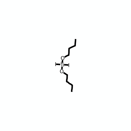 CCCC[O][Ti]([I])([I])[O]CCCC